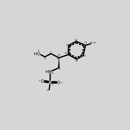 CS(=O)(=O)NC[C@@H](CCO)c1ccc(F)cc1